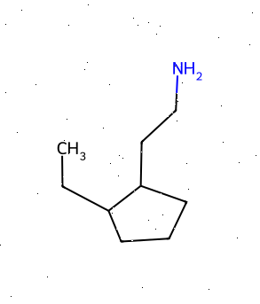 CCC1CCCC1CCN